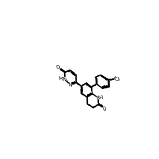 O=C1CCc2cc(-c3ccc(=O)[nH]n3)cc(-c3ccc(Cl)cc3)c2N1